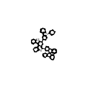 c1ccc(-n2c3ccccc3c3cc(-c4cc5c(-c6ccc7c(c6)C6(c8ccccc8-c8ccccc86)c6ccccc6-7)nc6ccccc6c5c5c4oc4ccccc45)ccc32)cc1